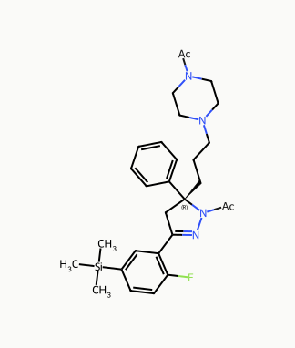 CC(=O)N1CCN(CCC[C@]2(c3ccccc3)CC(c3cc([Si](C)(C)C)ccc3F)=NN2C(C)=O)CC1